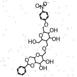 O=[N+]([O-])c1ccc(OCC2OC(CO)C(COCC3OC4COC(c5ccccc5)OC4C(O)C3O)C(O)C2O)cc1